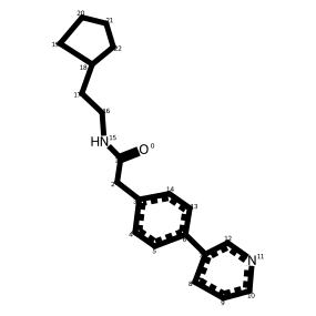 O=C(Cc1ccc(-c2cccnc2)cc1)NCCC1CCCC1